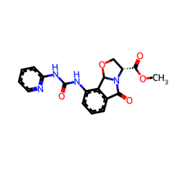 COC(=O)[C@H]1COC2c3c(NC(=O)Nc4ccccn4)cccc3C(=O)N21